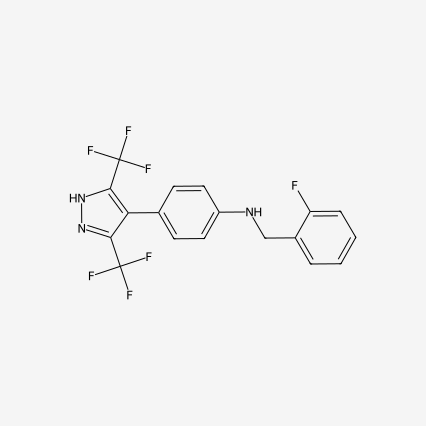 Fc1ccccc1CNc1ccc(-c2c(C(F)(F)F)n[nH]c2C(F)(F)F)cc1